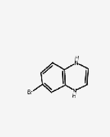 Brc1ccc2c(c1)NC=CN2